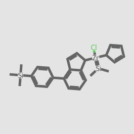 C[Si](C)=[Zr]([Cl])([CH]1C=CC=C1)[CH]1C=Cc2c(-c3ccc([Si](C)(C)C)cc3)cccc21